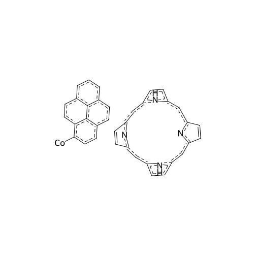 C1=Cc2cc3ccc(cc4nc(cc5ccc(cc1n2)[nH]5)C=C4)[nH]3.[Co][c]1ccc2ccc3cccc4ccc1c2c34